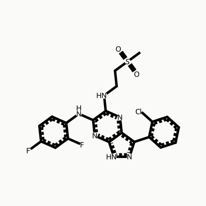 CS(=O)(=O)CCNc1nc2c(-c3ccccc3Cl)n[nH]c2nc1Nc1ccc(F)cc1F